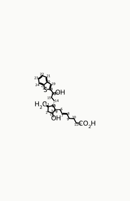 C=C1C[C@H](O)[C@H](CC=CCCCC(=O)O)[C@H]1CC[C@@H](O)c1cc2ccccc2s1